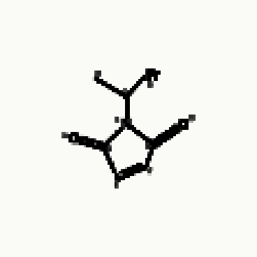 CC(C)C(C)N1C(=O)C=CC1=O